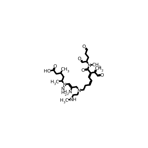 C=C(C=O)/C(=C\C=C/CCN(CCNC)C/C(N)=C/N(N)C(C)CC(C)CC(=O)O)C(=O)N(C)C(C=O)CCC=O